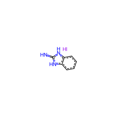 I.N=c1[nH]c2ccccc2[nH]1